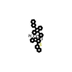 CC1(C)c2ccccc2-c2c1c(-c1cccc(-c3c4ccccc4c(-c4ccc5ccccc5c4)c4ccccc34)c1)cc1sc3c4ccccc4ccc3c21